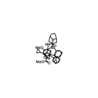 COC(=O)c1cc(OC)c(NC(=O)N2C3CCC2CC(OCc2c(-c4c(Cl)cccc4Cl)noc2C2CC2)C3)cc1-c1ccccc1